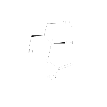 CC(C)C[C@@H](CN)[C@@H](C)OC(N)=O